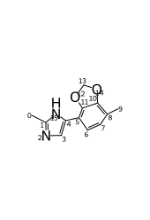 Cc1ncc(-c2ccc(C)c3c2OCO3)[nH]1